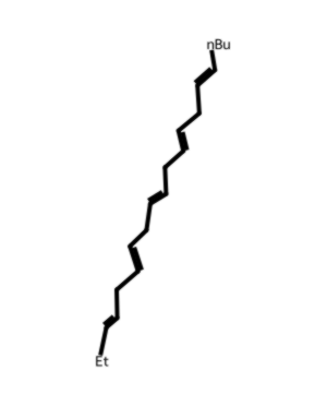 [CH2]CCCC=CCC=CCC=CCC=CCC=CCC